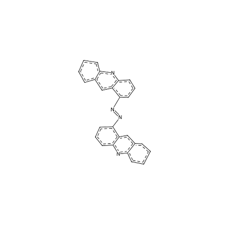 c1ccc2nc3cccc(N=Nc4cccc5nc6ccccc6cc45)c3cc2c1